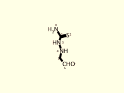 NC(=S)NNC[C]=O